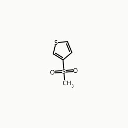 CS(=O)(=O)c1ccsc1